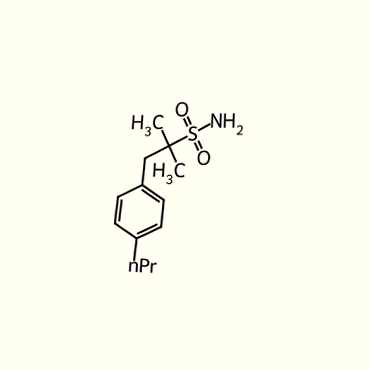 CCCc1ccc(CC(C)(C)S(N)(=O)=O)cc1